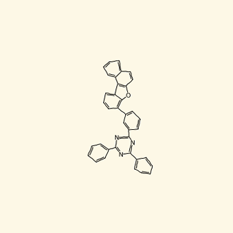 c1ccc(-c2nc(-c3ccccc3)nc(-c3cccc(-c4cccc5c4oc4ccc6ccccc6c45)c3)n2)cc1